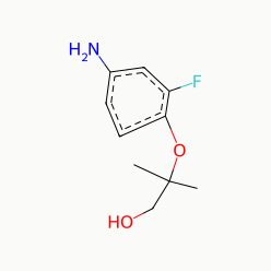 CC(C)(CO)Oc1ccc(N)cc1F